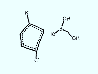 Clc1cc[c]([K])cc1.OB(O)O